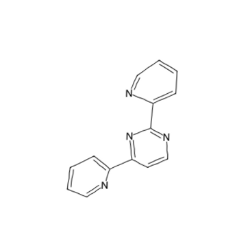 c1ccc(-c2ccnc(-c3ccccn3)n2)nc1